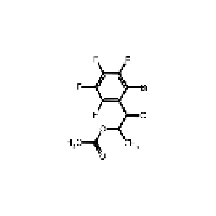 CC(=O)OC(C)C(=O)c1c(F)c(F)c(F)c(F)c1Br